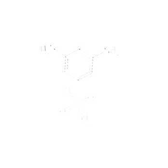 Nc1cccc(N)c1.O=S(=O)(Cl)Cl